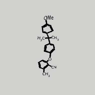 COc1ccc(C(C)(C)c2ccc(Oc3cccc(C)c3C#N)cc2)cc1